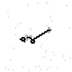 Cc1ccc(OC(=O)C2OC2c2ccccc2CCCCCCCCCCCC(F)(F)F)c(C)c1